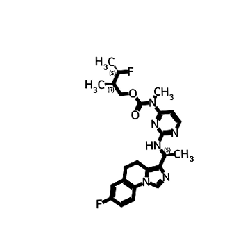 C[C@H](Nc1nccc(N(C)C(=O)OC[C@@H](C)[C@H](C)F)n1)c1ncn2c1CCc1cc(F)ccc1-2